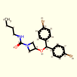 CCCCNC(=O)N1CC(OC(c2ccc(Br)cc2)c2ccc(Br)cc2)C1